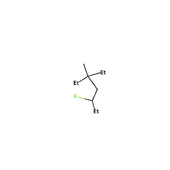 CCC(F)CC(C)(CC)CC